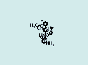 CC(C)COc1c(F)cccc1-c1ccc(C(=O)NS(=O)(=O)c2cccc(N)n2)c(N2CCC[C@H]2C2CC2)n1